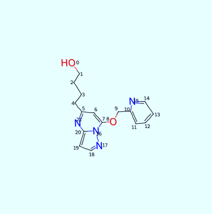 OCCCCc1cc(OCc2ccccn2)n2nccc2n1